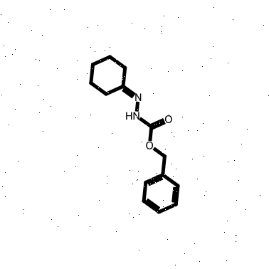 O=C(NN=C1CCCCC1)OCc1ccccc1